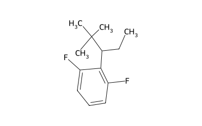 CCC(c1c(F)cccc1F)C(C)(C)C